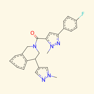 Cn1cc(C2CN(C(=O)c3cc(-c4ccc(F)cc4)nn3C)Cc3ccccc32)cn1